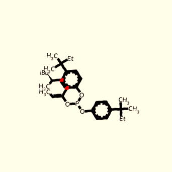 C/C=C(\C=C/C(C)[C@H](C)CC)OP(Oc1ccc(C(C)(C)CC)cc1)Oc1ccc(C(C)(C)CC)cc1